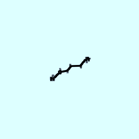 [CH2]COCCCC(C)C